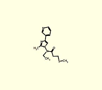 CCN(C(=O)CCSC)n1cc(-c2cccnc2)nc1C